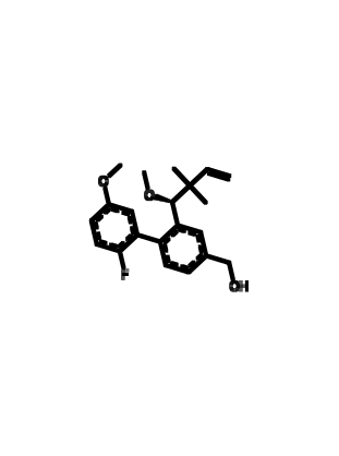 C=CC(C)(C)[C@H](OC)c1cc(CO)ccc1-c1cc(OC)ccc1F